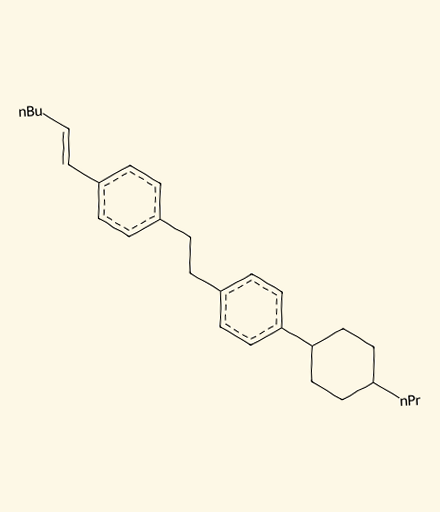 CCCCC=Cc1ccc(CCc2ccc(C3CCC(CCC)CC3)cc2)cc1